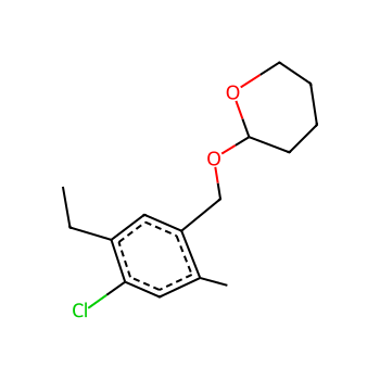 CCc1cc(COC2CCCCO2)c(C)cc1Cl